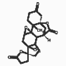 CC12CC3O[C@@]34C(C1CC[C@@]21CCC(=O)O1)[C@H]1C[C@]2(CC(=O)CCC24C)OC1=O